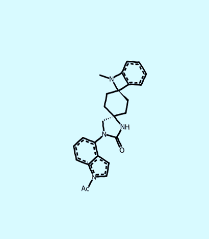 CC(=O)n1ccc2c(N3C[C@]4(CC[C@]5(CC4)c4ccccc4N5C)NC3=O)cccc21